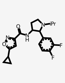 CC(C)N1CCC(NC(=O)c2cc(C3CC3)on2)C1c1ccc(F)c(F)c1